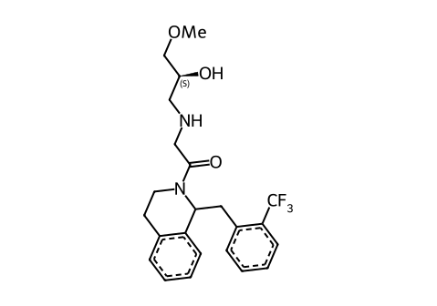 COC[C@@H](O)CNCC(=O)N1CCc2ccccc2C1Cc1ccccc1C(F)(F)F